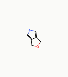 C1=C2COCC2=C[N]1